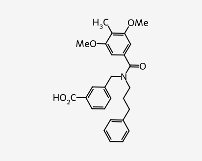 COc1cc(C(=O)N(CCCc2ccccc2)Cc2cccc(C(=O)O)c2)cc(OC)c1C